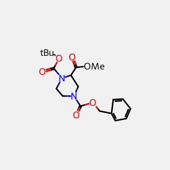 COC(=O)C1CN(C(=O)OCc2ccccc2)CCN1C(=O)OC(C)(C)C